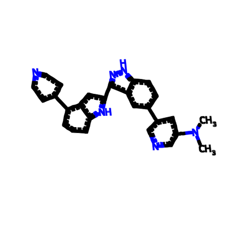 CN(C)c1cncc(-c2ccc3[nH]nc(-c4cc5c(-c6ccncc6)cccc5[nH]4)c3c2)c1